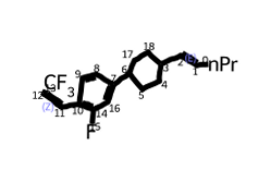 CCC/C=C/C1CCC(c2ccc(/C=C\C(F)(F)F)c(F)c2)CC1